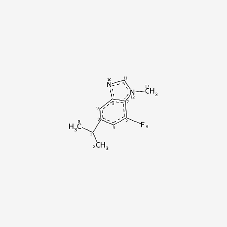 CC(C)c1cc(F)c2c(c1)ncn2C